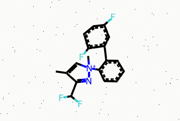 CC1=C[N+](C)(c2ccccc2-c2cc(F)ccc2F)N=C1C(F)F